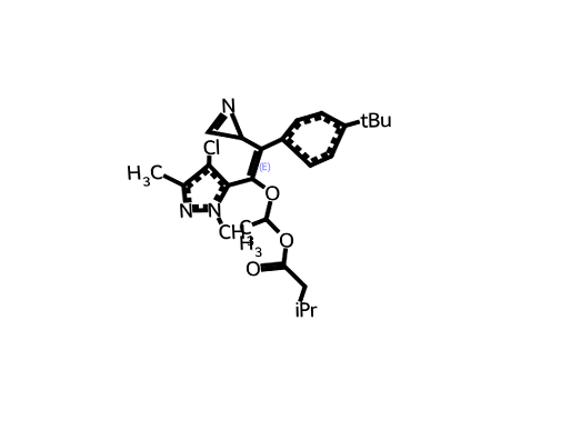 Cc1nn(C)c(/C(OC(C)OC(=O)CC(C)C)=C(/c2ccc(C(C)(C)C)cc2)C2C=N2)c1Cl